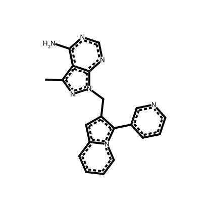 Cc1nn(Cc2cc3ccccn3c2-c2cccnc2)c2ncnc(N)c12